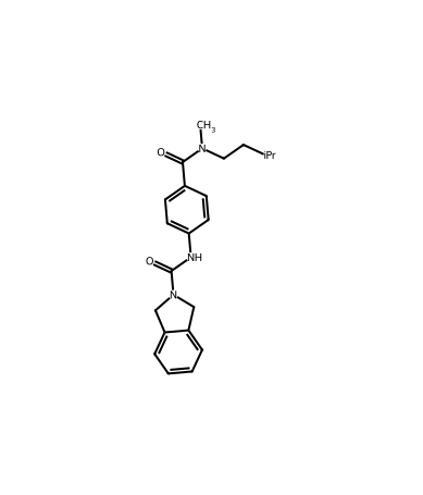 CC(C)CCN(C)C(=O)c1ccc(NC(=O)N2Cc3ccccc3C2)cc1